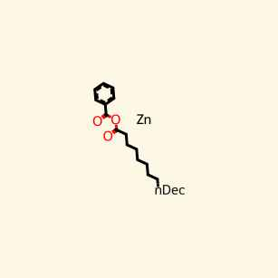 CCCCCCCCCCCCCCCCCC(=O)OC(=O)c1ccccc1.[Zn]